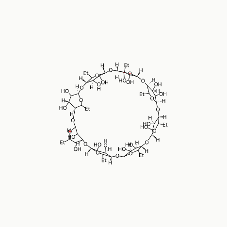 CCC1O[C@H]2O[C@@H]3C(CC)O[C@H](O[C@@H]4C(CC)O[C@H](O[C@@H]5C(CC)O[C@H](O[C@@H]6C(CC)O[C@H](O[C@@H]7C(CC)O[C@H](O[C@@H]8C(CC)OC(O[C@@H]9C(CC)O[C@H](O[C@H](C2O)[C@@H]1O)C(O)[C@H]9O)[C@@H](O)[C@H]8O)C(O)[C@H]7O)C(O)[C@H]6O)C(O)[C@H]5O)C(O)[C@H]4O)C(O)[C@H]3O